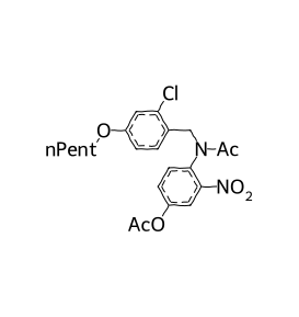 CCCCCOc1ccc(CN(C(C)=O)c2ccc(OC(C)=O)cc2[N+](=O)[O-])c(Cl)c1